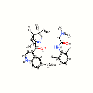 C=C[C@H]1C[N@]2CC[C@H]1C[C@@H]2[C@@H](O)c1ccnc2ccc(OC)cc12.CCN(CC)CC(=O)Nc1c(C)cccc1C